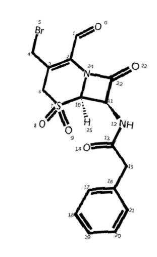 O=[C]C1=C(CBr)CS(=O)(=O)[C@@H]2[C@H](NC(=O)Cc3ccccc3)C(=O)N12